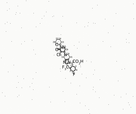 O=C(O)C(c1ccc(F)cc1C(F)(F)F)n1cnc2c1CCN(c1cnn(C3CCCCO3)c(=O)c1Cl)C2